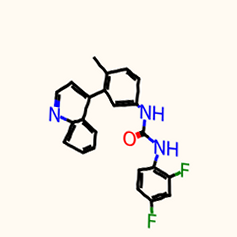 Cc1ccc(NC(=O)Nc2ccc(F)cc2F)cc1-c1ccnc2ccccc12